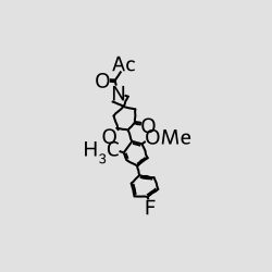 COc1cc(-c2ccc(F)cc2)cc(C)c1C1C(=O)CC2(CC1=O)CN(C(=O)CC(C)=O)C2